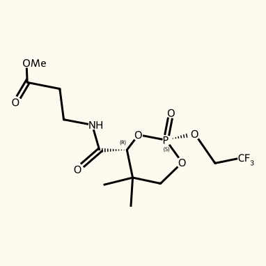 COC(=O)CCNC(=O)[C@@H]1O[P@](=O)(OCC(F)(F)F)OCC1(C)C